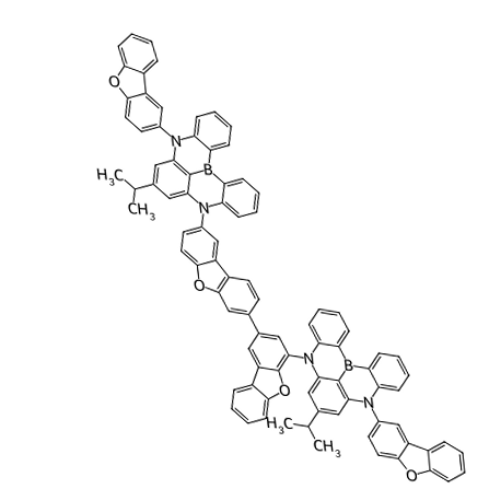 CC(C)c1cc2c3c(c1)N(c1ccc4oc5cc(-c6cc(N7c8ccccc8B8c9ccccc9N(c9ccc%10oc%11ccccc%11c%10c9)c9cc(C(C)C)cc7c98)c7oc8ccccc8c7c6)ccc5c4c1)c1ccccc1B3c1ccccc1N2c1ccc2oc3ccccc3c2c1